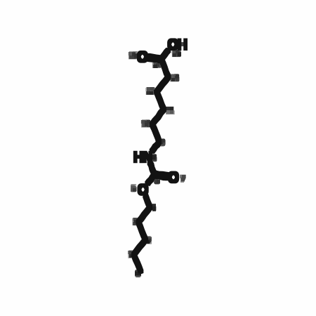 CCCCCOC(=O)NCCCCCC(=O)O